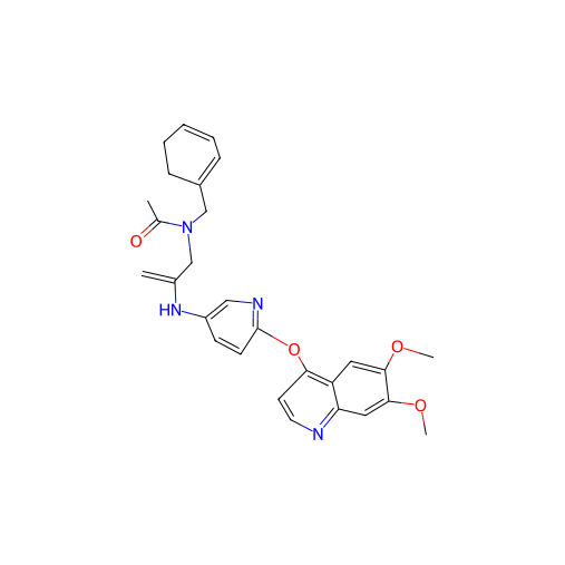 C=C(CN(CC1=CC=CCC1)C(C)=O)Nc1ccc(Oc2ccnc3cc(OC)c(OC)cc23)nc1